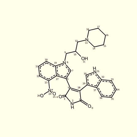 O=C1NC(=O)C(c2cn(CC(O)CN3CCCCC3)c3cccc([N+](=O)[O-])c23)=C1c1c[nH]c2ccccc12